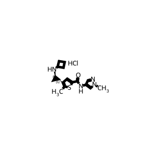 Cc1sc(C(=O)Nc2cnn(C)c2)cc1[C@@H]1C[C@H]1NC1CCC1.Cl